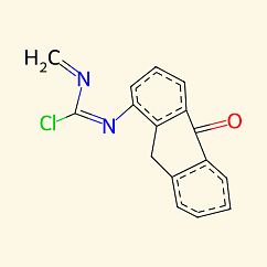 C=N/C(Cl)=N\c1cccc2c1Cc1ccccc1C2=O